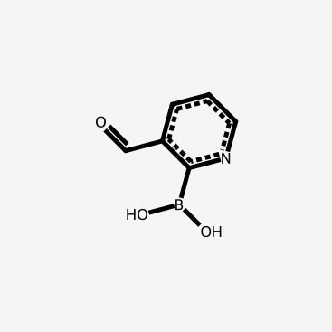 O=Cc1cccnc1B(O)O